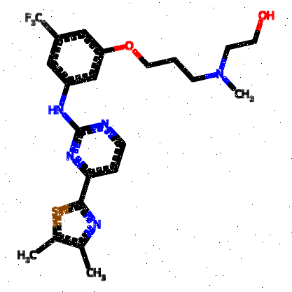 Cc1nc(-c2ccnc(Nc3cc(OCCCN(C)CCO)cc(C(F)(F)F)c3)n2)sc1C